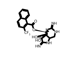 N=C1NC2CNC(=N)N3C[C@H](OC(=O)c4c(C(F)(F)F)ccc5ccccc45)C(O)(O)C23N1